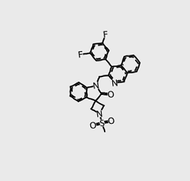 CS(=O)(=O)N1CC2(C1)C(=O)N(Cc1ncc3ccccc3c1-c1cc(F)cc(F)c1)c1ccccc12